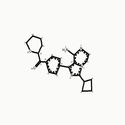 Nc1nccn2c(C3CCC3)nc(-c3ccc(C(=O)C4CCCCO4)cc3)c12